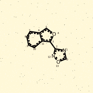 [c]1nc(-c2occ3ccccc23)no1